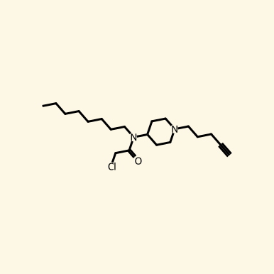 C#CCCCN1CCC(N(CCCCCCCC)C(=O)CCl)CC1